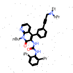 CCCCn1c(=O)c(NC(=O)Nc2c(C(C)C)cccc2C(C)C)c(-c2cccc(C#CCN(CC)CCC)c2)c2cccnc21